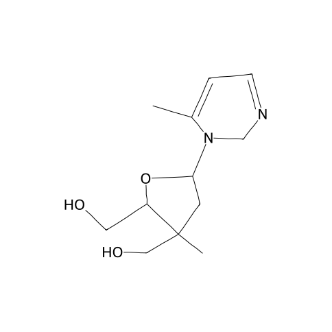 CC1=CC=NCN1C1CC(C)(CO)C(CO)O1